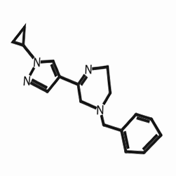 c1ccc(CN2CCN=C(c3cnn(C4CC4)c3)C2)cc1